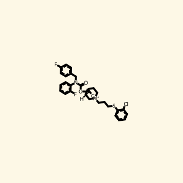 O=C(O[C@H]1C[N+]2(CCCSc3ccccc3Cl)CCC1CC2)N(Cc1ccc(F)cc1)c1ccccc1F